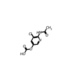 CC(=O)Nc1ncc(OC(=O)O)cc1Cl